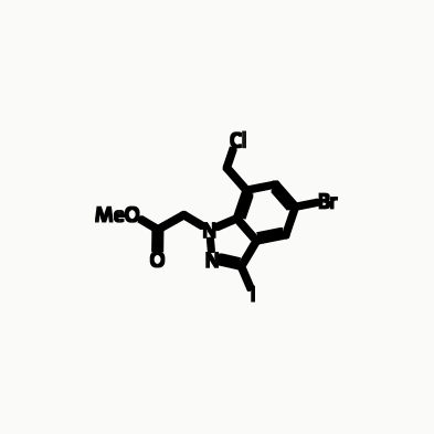 COC(=O)Cn1nc(I)c2cc(Br)cc(CCl)c21